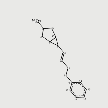 OC1CC2C(C=CCCc3ccccc3)C2C1